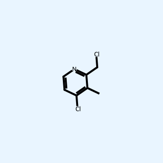 Cc1c(Cl)ccnc1CCl